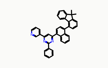 CC1(C)c2ccccc2-c2c(-c3ccc(-c4cc(-c5cccnc5)nc(-c5ccccc5)n4)c4ccccc34)cccc21